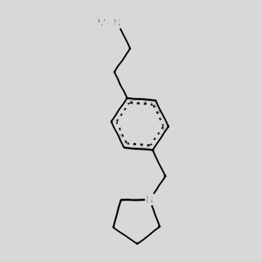 [CH2-][NH2+]CCc1ccc(CN2CCCC2)cc1